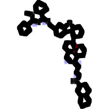 C=N/C(=N\C(=N/Cc1ccc2c(c1)oc1cccc(-c3ccc(\C=C/C(=C\C=C\Nc4ccc5ccccc5c4)c4ccccc4)cc3)c12)c1ccccc1)c1ccccc1